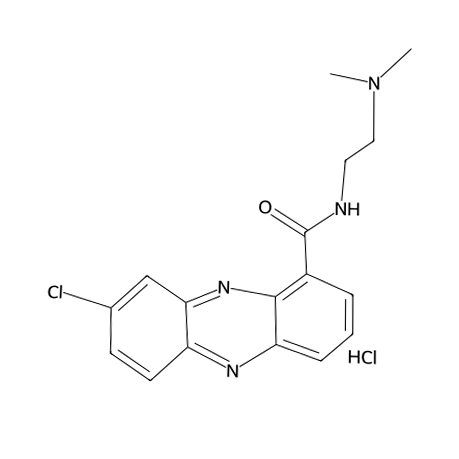 CN(C)CCNC(=O)c1cccc2nc3ccc(Cl)cc3nc12.Cl